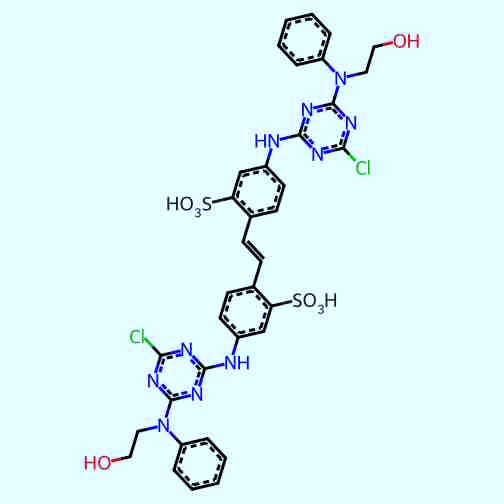 O=S(=O)(O)c1cc(Nc2nc(Cl)nc(N(CCO)c3ccccc3)n2)ccc1/C=C/c1ccc(Nc2nc(Cl)nc(N(CCO)c3ccccc3)n2)cc1S(=O)(=O)O